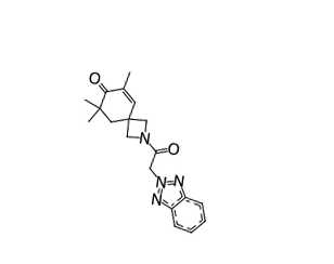 CC1=CC2(CN(C(=O)Cn3nc4ccccc4n3)C2)CC(C)(C)C1=O